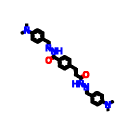 CN(C)c1ccc(/C=N/NC(=O)/C=C/c2ccc(C(=O)N/N=C/c3ccc(N(C)C)cc3)cc2)cc1